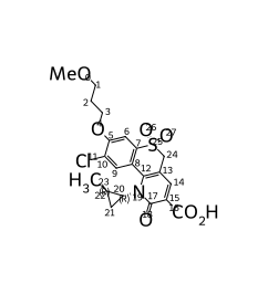 COCCCOc1cc2c(cc1Cl)-c1c(cc(C(=O)O)c(=O)n1[C@@H]1C[C@H]1C)CS2(=O)=O